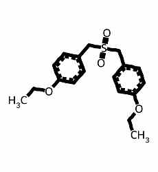 CCOc1ccc(CS(=O)(=O)Cc2ccc(OCC)cc2)cc1